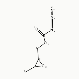 CC1OC1COC(=O)N=[N+]=[N-]